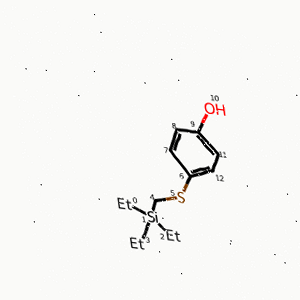 CC[Si](CC)(CC)CSc1ccc(O)cc1